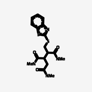 CNC(=O)CC(C(=O)NC)C(CSc1nc2ccccc2s1)C(=O)NC